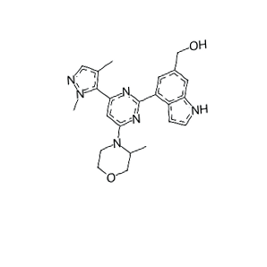 Cc1cnn(C)c1-c1cc(N2CCOCC2C)nc(-c2cc(CO)cc3[nH]ccc23)n1